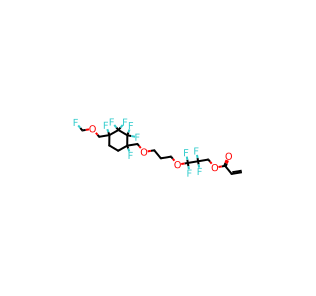 C=CC(=O)OCC(F)(F)C(F)(F)OCCCOCC1(F)CCC(F)(COCF)C(F)(F)C1(F)F